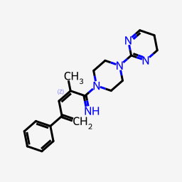 C=C(/C=C(/C)C(=N)N1CCN(C2=NCCC=N2)CC1)c1ccccc1